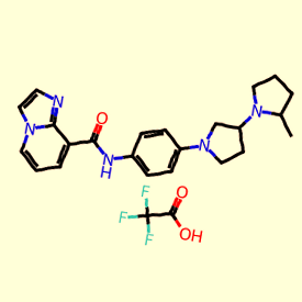 CC1CCCN1C1CCN(c2ccc(NC(=O)c3cccn4ccnc34)cc2)C1.O=C(O)C(F)(F)F